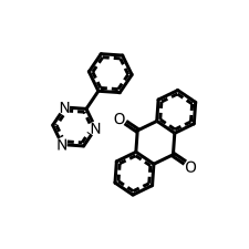 O=C1c2ccccc2C(=O)c2ccccc21.c1ccc(-c2ncncn2)cc1